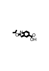 CC(C)On1cc2cc(C(=O)O)ccc2n1